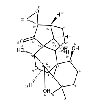 CC1(C)CC[C@H](O)C23CO[C@](O)(C[C@H](O)C12)C12C(=O)[C@]4(CO4)[C@H](CC[C@@H]31)[C@H]2O